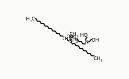 CCCCCCCCCCCCCCCCOC(CSSCCCCCCCCCCCC)O[Si](C)(C)OCCCCCCN(CCO)CCO